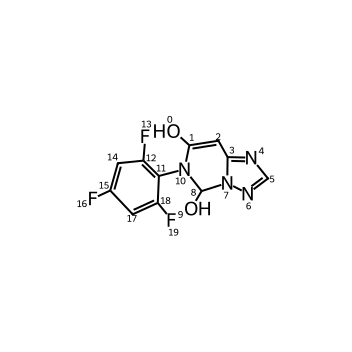 OC1=Cc2ncnn2C(O)N1c1c(F)cc(F)cc1F